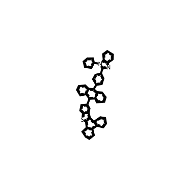 c1ccc(-n2c(-c3ccc(-c4c5ccccc5c(-c5ccc6sc7c8ccccc8c8ccccc8c7c6c5)c5ccccc45)cc3)nc3ccccc32)cc1